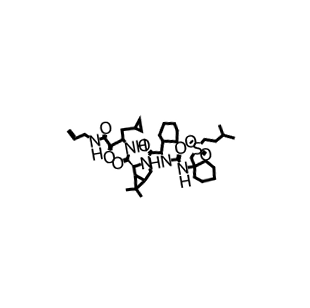 C=CCNC(=O)C(=O)C(CC1CC1)NC(=O)[C@@H]1C2C(CN1C(=O)[C@@H](NC(=O)NC1(CS(=O)(=O)CCC(C)C)CCCCC1)C1CCCCC1)C2(C)C